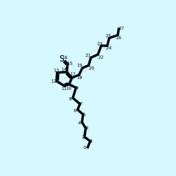 CCCCCCCCCCc1cccc(C=S)c1CCCCCCCCCC